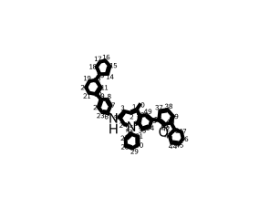 C/C1=C\C=C(\Nc2ccc(C3=CC(C4C=CCCC4)CCC3)cc2)CN(c2ccccc2)c2ccc(-c3cccc4c3OC3C=CCCC43)cc21